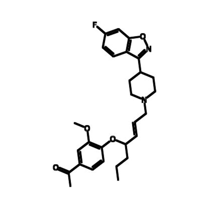 CCCC(C=CCN1CCC(c2noc3cc(F)ccc23)CC1)Oc1ccc(C(C)=O)cc1OC